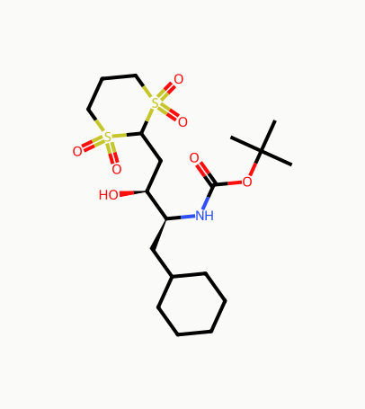 CC(C)(C)OC(=O)N[C@@H](CC1CCCCC1)[C@@H](O)CC1S(=O)(=O)CCCS1(=O)=O